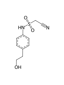 N#CCS(=O)(=O)Nc1ccc(CCO)cc1